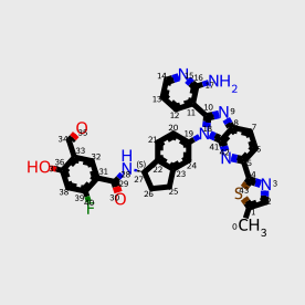 Cc1cnc(-c2ccc3nc(-c4cccnc4N)n(-c4ccc5c(c4)CC[C@@H]5NC(=O)c4cc(C=O)c(O)cc4F)c3n2)s1